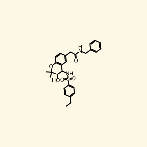 CCc1ccc(S(=O)(=O)NC2c3cc(CC(=O)NCc4ccccc4)ccc3OC(C)(C)C2O)cc1